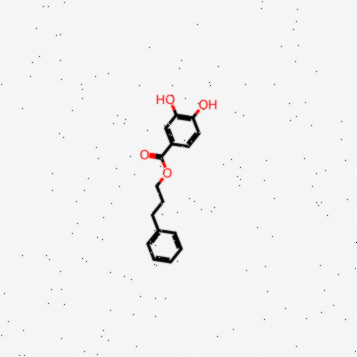 O=C(OCCCc1ccccc1)c1ccc(O)c(O)c1